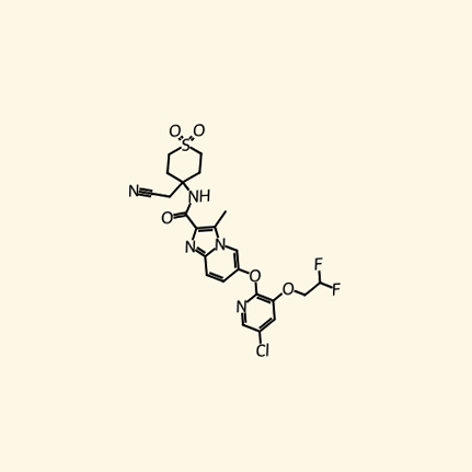 Cc1c(C(=O)NC2(CC#N)CCS(=O)(=O)CC2)nc2ccc(Oc3ncc(Cl)cc3OCC(F)F)cn12